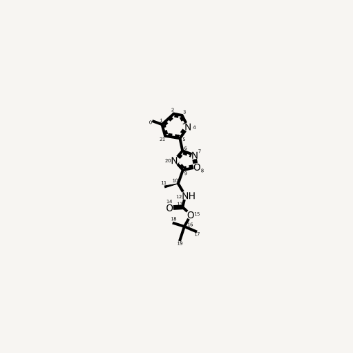 Cc1ccnc(-c2noc([C@H](C)NC(=O)OC(C)(C)C)n2)c1